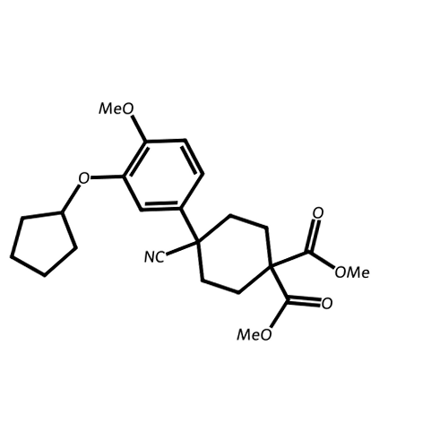 COC(=O)C1(C(=O)OC)CCC(C#N)(c2ccc(OC)c(OC3CCCC3)c2)CC1